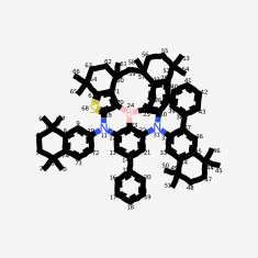 CC1(C)CCC(C)(C)c2cc(N3c4cc(-c5ccccc5)cc5c4B4c6cc7c(cc6N5c5cc6c(cc5-c5ccccc5)C(C)(C)CCC6(C)C)C(C)(C)CCC7(C)CC5(C)CCC(C)(C)c6sc3c4c65)ccc21